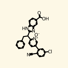 N#Cc1ccc(Cl)cc1-c1ccc(C(Cc2ccccc2)c2nc3cc(C(=O)O)ccc3[nH]2)[n+]([O-])c1